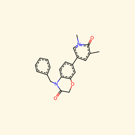 Cc1cc(-c2ccc3c(c2)OCC(=O)N3Cc2ccccc2)cn(C)c1=O